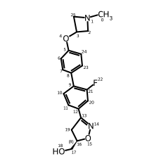 CN1CC(Oc2ccc(-c3ccc(C4=NO[C@@H](CO)C4)cc3F)cc2)C1